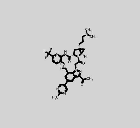 CC(=O)c1nn(CC(=O)N2[C@H](C(=O)Nc3nc(C(F)(F)F)ccc3C)C[C@@]3(CCCN(C)C)C[C@@H]23)c2c(CF)cc(-c3cnc(C)nc3)cc12